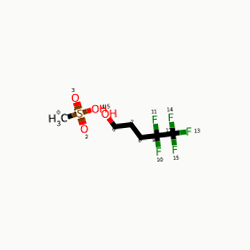 CS(=O)(=O)O.OCCCC(F)(F)C(F)(F)F